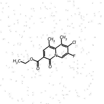 CCOC(=O)c1cc(C)c2c(C)c(Cl)c(F)cn2c1=O